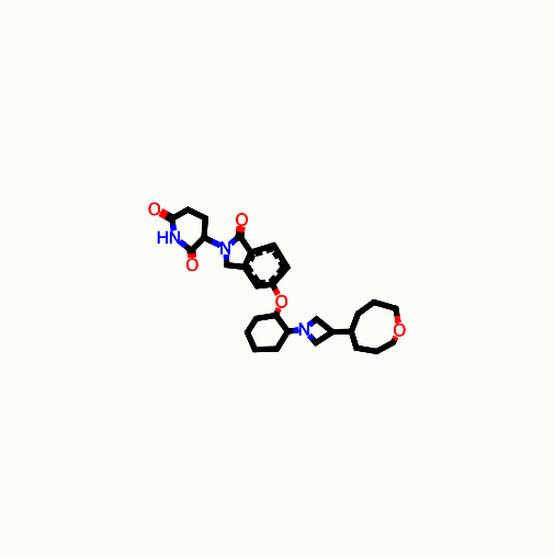 O=C1CCC(N2Cc3cc(OC4CCCCC4N4CC(C5CCCOCCC5)C4)ccc3C2=O)C(=O)N1